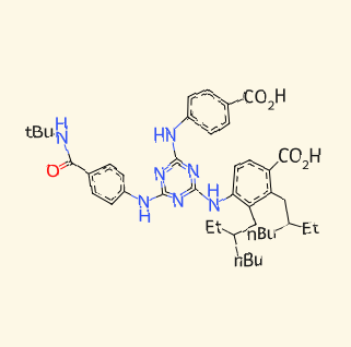 CCCCC(CC)Cc1c(Nc2nc(Nc3ccc(C(=O)O)cc3)nc(Nc3ccc(C(=O)NC(C)(C)C)cc3)n2)ccc(C(=O)O)c1CC(CC)CCCC